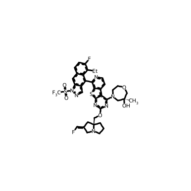 CCc1c(F)ccc2cc3c(cnn3S(=O)(=O)C(F)(F)F)c(-c3nccc4c3sc3nc(OC[C@@]56CCCN5C/C(=C\F)C6)nc(N5CCOC[C@@](C)(O)C5)c34)c12